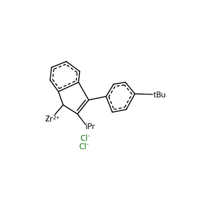 CC(C)C1=C(c2ccc(C(C)(C)C)cc2)c2ccccc2[CH]1[Zr+2].[Cl-].[Cl-]